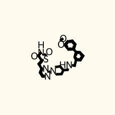 O=C1NC(=O)C(=Cc2ccnc(N3CCC(CNCc4cccc(-c5ccc6c(c5)OCO6)c4)CC3)n2)S1